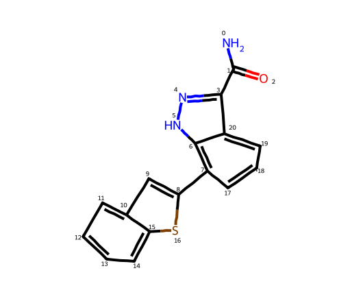 NC(=O)c1n[nH]c2c(-c3cc4ccccc4s3)c[c]cc12